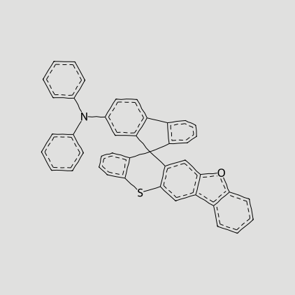 c1ccc(N(c2ccccc2)c2ccc3c(c2)C2(c4ccccc4Sc4cc5c(cc42)oc2ccccc25)c2ccccc2-3)cc1